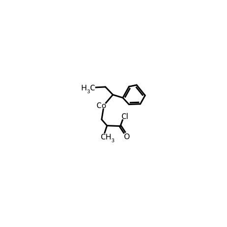 CC[CH]([Co][CH2]C(C)C(=O)Cl)c1ccccc1